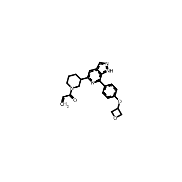 C=CC(=O)N1CCCC(c2cc3cn[nH]c3c(-c3ccc(OC4COC4)cc3)n2)C1